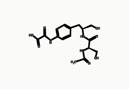 CC(=O)N[C@H](CO)C(=O)N[C@H](CO)Cc1ccc(NC(=O)C(=O)O)cc1